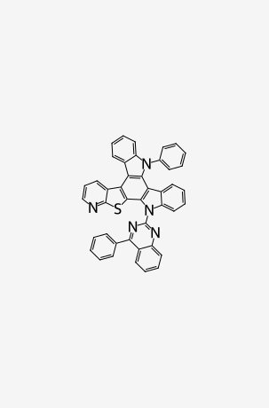 c1ccc(-c2nc(-n3c4ccccc4c4c3c3sc5ncccc5c3c3c5ccccc5n(-c5ccccc5)c34)nc3ccccc23)cc1